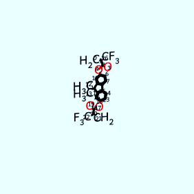 C=C(C(=O)Oc1ccc2c(c1)C(C)(C)c1cc(OC(=O)C(=C)C(F)(F)F)ccc1-2)C(F)(F)F